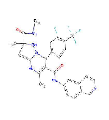 CNC(=O)C1(C)C=C2NC(C)=C(C(=O)Nc3ccc4cnccc4c3)C(c3ccc(C(F)(F)F)c(F)c3)N2N1